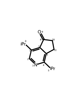 CC(C)c1cnc(C(C)C)c2c1C(=O)CC2